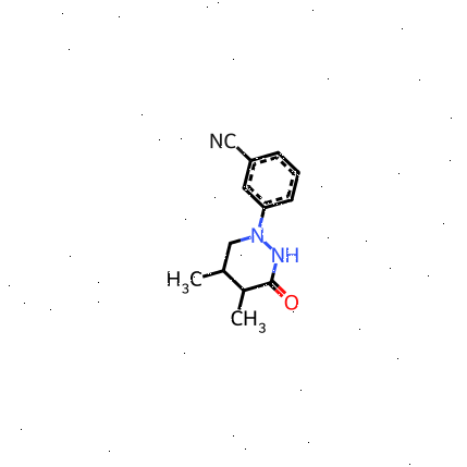 CC1CN(c2cccc(C#N)c2)NC(=O)C1C